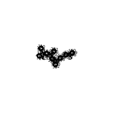 CN1C=CC=CC1N(c1ccccc1)c1ccc(N(c2ccccc2)c2ccc3c4ccccc4n(-c4ccc(-c5ccc6c(c5)sc5ccccc56)cc4)c3c2)cc1